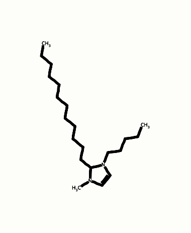 CCCCCCCCCCCCC1N(C)C=CN1CCCCC